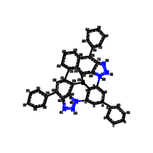 c1ccc(-c2cc3c4c(c2)-n2nnc5c(-c6ccccc6)c6cccc7c6c(c52)B4c2c-7cc(-c4ccccc4)c4nnn-3c24)cc1